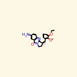 CCOc1cccc(/C=C2/CCn3c2nc2ccc(N)cc2c3=O)c1OC